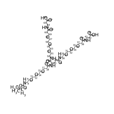 CC(C)(C)OC(=O)NCCOCCOCCOCCC(=O)NC(CCC(=O)NCCOCCOCCOCCC(=O)NCCC(=O)O)C(=O)NCCOCCOCCOCCC(=O)NCCC(=O)O